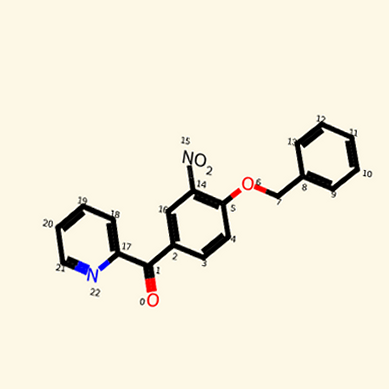 O=C(c1ccc(OCc2ccccc2)c([N+](=O)[O-])c1)c1ccccn1